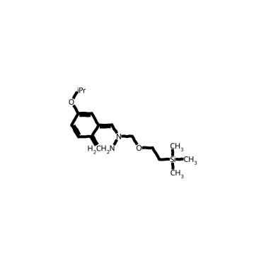 C=c1ccc(OC(C)C)c/c1=C/N(N)COCC[Si](C)(C)C